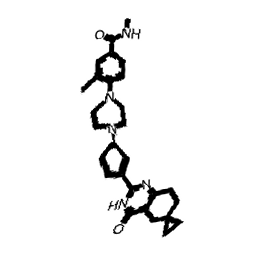 CNC(=O)c1ccc(N2CCN([C@H]3C=C(c4nc5c(c(=O)[nH]4)CC4(CC5)CC4)CC3)CC2)c(C)c1